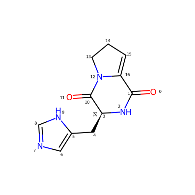 O=C1N[C@@H](Cc2cnc[nH]2)C(=O)N2CCC=C12